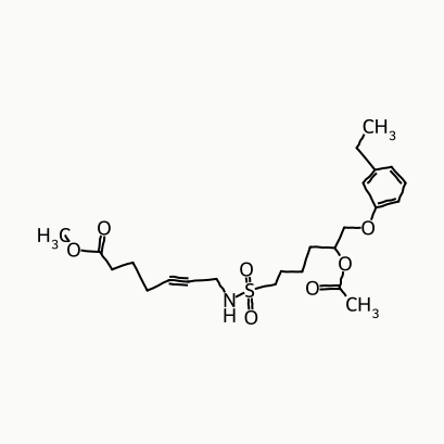 CCc1cccc(OCC(CCCCS(=O)(=O)NCC#CCCCC(=O)OC)OC(C)=O)c1